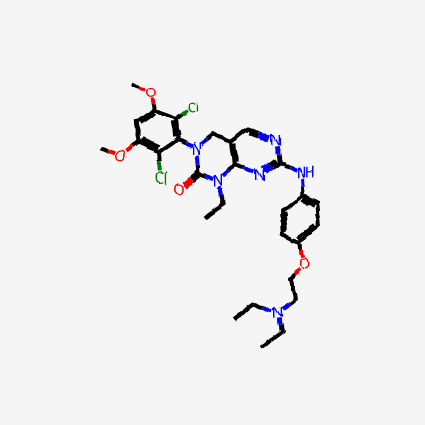 CCN(CC)CCOc1ccc(Nc2ncc3c(n2)N(CC)C(=O)N(c2c(Cl)c(OC)cc(OC)c2Cl)C3)cc1